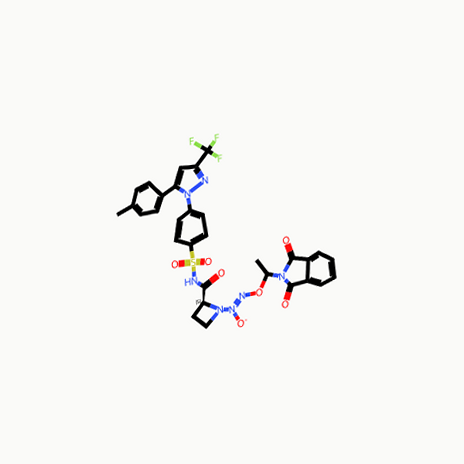 Cc1ccc(-c2cc(C(F)(F)F)nn2-c2ccc(S(=O)(=O)NC(=O)[C@@H]3CCN3[N+]([O-])=NOC(C)N3C(=O)c4ccccc4C3=O)cc2)cc1